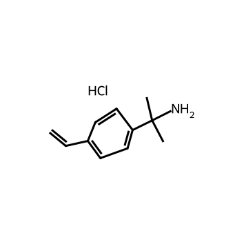 C=Cc1ccc(C(C)(C)N)cc1.Cl